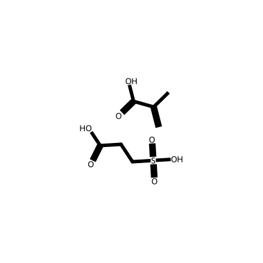 C=C(C)C(=O)O.O=C(O)CCS(=O)(=O)O